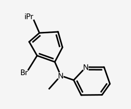 CC(C)c1ccc(N(C)c2ccccn2)c(Br)c1